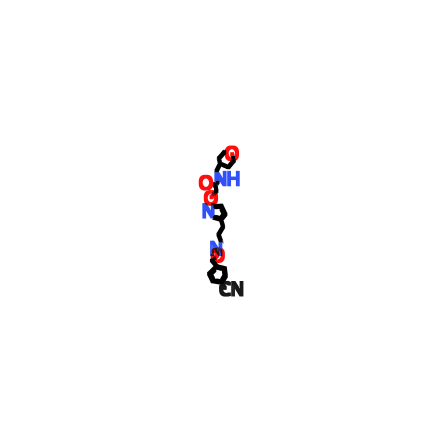 N#Cc1ccc(CON=CCCc2ccc(OCC(=O)NCC3CCOCC3)nc2)cc1